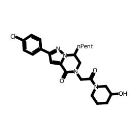 CCCCCC1CN(CC(=O)N2CCCC(O)C2)C(=O)c2cc(-c3ccc(Cl)cc3)nn21